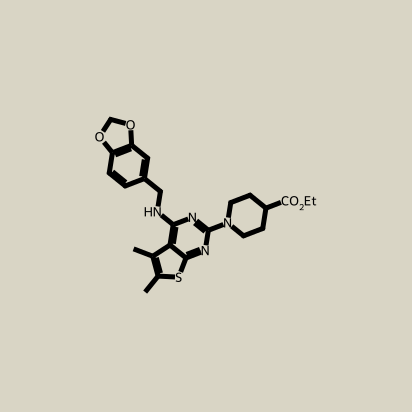 CCOC(=O)C1CCN(c2nc(NCc3ccc4c(c3)OCO4)c3c(C)c(C)sc3n2)CC1